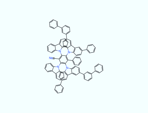 N#Cc1c(-n2c3ccccc3c3ccccc32)c(-n2c3ccc(-c4ccccc4)cc3c3cc(-c4cccc(-c5ccccc5)c4)ccc32)c(-c2ccccc2)c(-n2c3ccc(-c4ccccc4)cc3c3cc(-c4cccc(-c5ccccc5)c4)ccc32)c1-n1c2ccccc2c2ccccc21